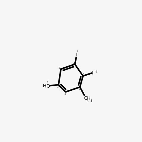 Cc1cc(O)cc(I)c1I